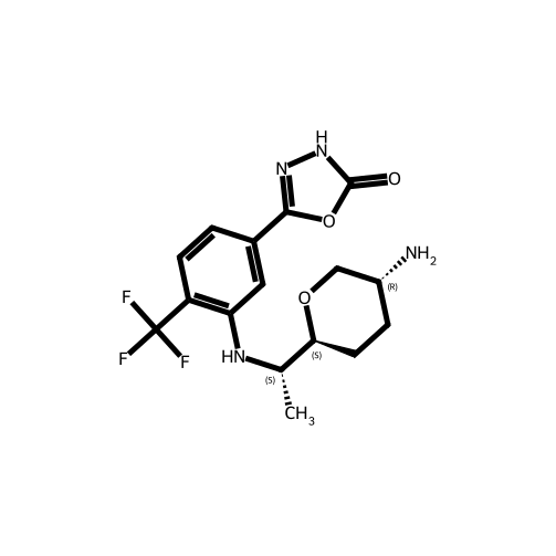 C[C@H](Nc1cc(-c2n[nH]c(=O)o2)ccc1C(F)(F)F)[C@@H]1CC[C@@H](N)CO1